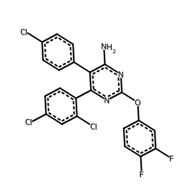 Nc1nc(Oc2ccc(F)c(F)c2)nc(-c2ccc(Cl)cc2Cl)c1-c1ccc(Cl)cc1